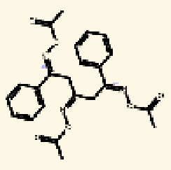 CC(=O)ON=C(C/C(=N\OC(C)=O)c1ccccc1)C/C(=N\OC(C)=O)c1ccccc1